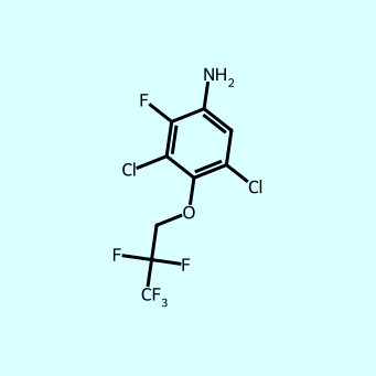 Nc1cc(Cl)c(OCC(F)(F)C(F)(F)F)c(Cl)c1F